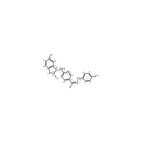 C/C(=N/Oc1ccc(F)cc1)c1cnc(N[C@H]2c3cc(C)ccc3C[C@@H]2C)nc1